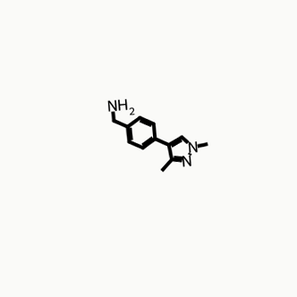 Cc1nn(C)cc1-c1ccc(CN)cc1